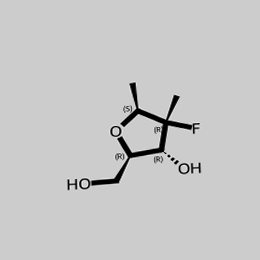 C[C@@H]1O[C@H](CO)[C@@H](O)[C@@]1(C)F